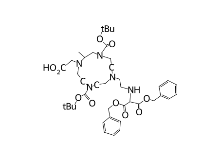 CC1CN(C(=O)OC(C)(C)C)CCN(CCNC(C(=O)OCc2ccccc2)C(=O)OCc2ccccc2)CCN(C(=O)OC(C)(C)C)CCN1CC(=O)O